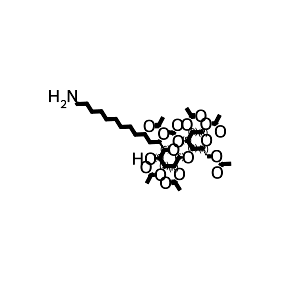 CC(=O)OC[C@H]1O[C@H](OC(C)=O)[C@H](OC(C)=O)[C@@H](OC(C)=O)[C@@H]1O[C@@H]1O[C@H](C(CCCCCCCCCCCN)OC(C)=O)[C@H](O)[C@H](OC(C)=O)[C@H]1OC(C)=O